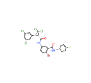 O=C(Nc1ccc(F)cc1)c1cc(NC(=O)[C@@H]2[C@@H](c3cc(Cl)cc(Cl)c3)C2(Cl)Cl)ccc1Br